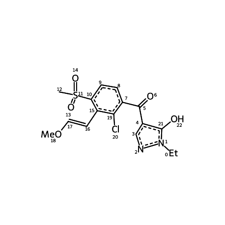 CCn1ncc(C(=O)c2ccc(S(C)(=O)=O)c(/C=C/OC)c2Cl)c1O